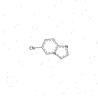 [C-]#[N+]c1ccc2nccn2c1